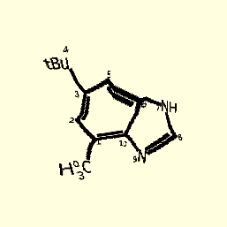 Cc1cc(C(C)(C)C)cc2[nH]cnc12